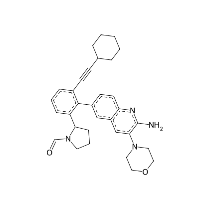 Nc1nc2ccc(-c3c(C#CC4CCCCC4)cccc3C3CCCN3C=O)cc2cc1N1CCOCC1